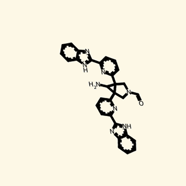 NC1C2(c3cccc(-c4nc5ccccc5[nH]4)n3)CN(C=O)CC12c1cccc(-c2nc3ccccc3[nH]2)n1